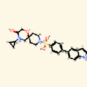 O=C1COC2(CCN(S(=O)(=O)c3ccc(-c4ccc5[nH]ccc5c4)cc3)CC2)CN1C1CC1